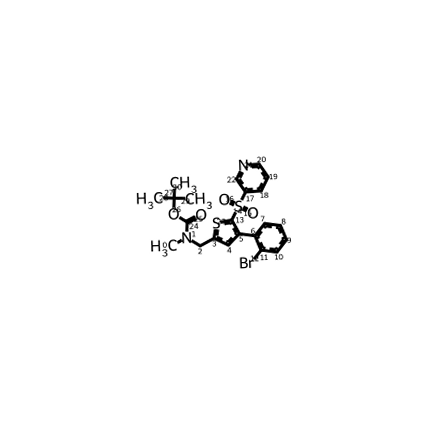 CN(Cc1cc(-c2ccccc2Br)c(S(=O)(=O)c2cccnc2)s1)C(=O)OC(C)(C)C